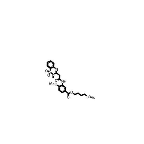 CCCCCCCCCCCCCCOC(=O)c1ccc(OC)c(NC(=O)CC2=Nc3ccccc3S(=O)(=O)N2C)c1